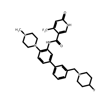 CN1CCN(c2ccc(-c3cccc(CN4CCC(F)CC4)c3)cc2NC(=O)c2c[nH]c(=O)cc2C(F)(F)F)CC1